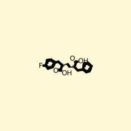 O=C(O)[C@H](CC[C@H](Cc1ccc(F)cc1)C(=O)O)Cc1ccccc1